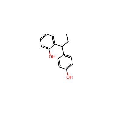 CC[C](c1ccc(O)cc1)c1ccccc1O